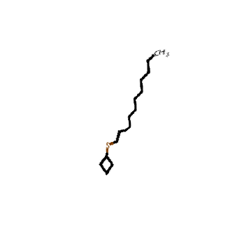 CCCCCCCCCCCSC1CCC1